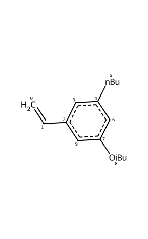 C=[C]c1cc(CCCC)cc(OCC(C)C)c1